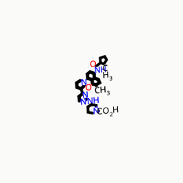 Cc1ccc2c(NC(=O)C3CCCC3C)cccc2c1Oc1ncccc1-c1ccnc(N[C@H]2CCCN(C(=O)O)C2)n1